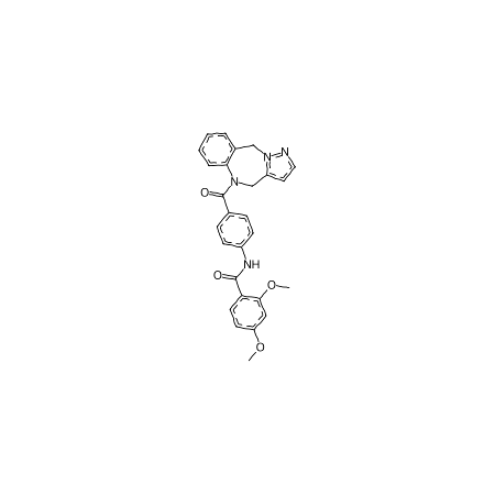 COc1ccc(C(=O)Nc2ccc(C(=O)N3Cc4ccnn4Cc4ccccc43)cc2)c(OC)c1